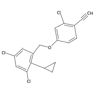 C#Cc1ccc(OCc2[c]c(Cl)cc(Cl)c2C2CC2)cc1Cl